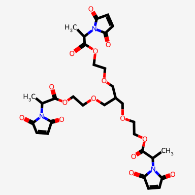 CC(C(=O)OCCOCC(COCCOC(=O)C(C)N1C(=O)C=CC1=O)COCCOC(=O)C(C)N1C(=O)C=CC1=O)N1C(=O)C=CC1=O